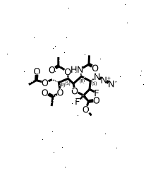 COC(=O)[C@]1(F)OC([C@H](OC(C)=O)[C@@H](COC(C)=O)OC(C)=O)[C@H](NC(C)=O)[C@H](N=[N+]=[N-])C1F